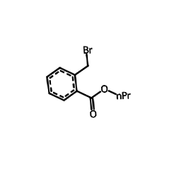 CCCOC(=O)c1ccccc1CBr